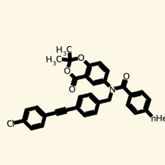 CCCCCCCc1ccc(C(=O)N(Cc2ccc(C#Cc3ccc(Cl)cc3)cc2)c2ccc3c(c2)C(=O)OC(C)(C)O3)cc1